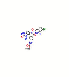 CC(C)(C)OC(=O)NC[C@H]1CC[C@H](C(=O)N(C(=O)[C@@H](N)Cc2ccc(Br)cc2)c2ccc3[nH]c(=O)[nH]c3c2)CC1